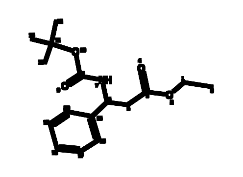 CCOC(=O)CC(NC(=O)OC(C)(C)C)c1ccccc1